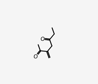 C=C(CC(=O)CC)C(C)=O